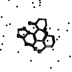 O=C1CCCC(=O)C1c1c(-c2c(F)cccc2Cl)c(Cl)nc2ncnn12